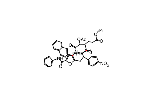 CC(=O)OC(C(=O)N(Cc1ccc2ccccc2c1)C(C)C(Cc1ccc(C(=O)Nc2ccccc2)o1)c1ccc([N+](=O)[O-])cc1)C(CCC(=O)OC(C)C)C(=O)OC(C)C